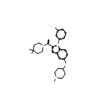 COc1cccc(-n2c(C(=O)N3CCC(F)(F)CC3)cc3cc(OC4CCN(C(C)C)CC4)ccc32)c1